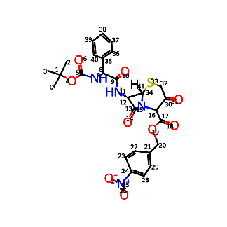 CC(C)(C)OC(=O)NC(C(=O)N[C@@H]1C(=O)N2C(C(=O)OCc3ccc([N+](=O)[O-])cc3)C(=O)CS[C@@H]12)c1ccccc1